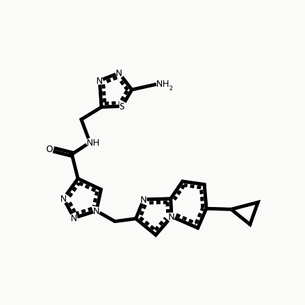 Nc1nnc(CNC(=O)c2cn(Cc3cn4cc(C5CC5)ccc4n3)nn2)s1